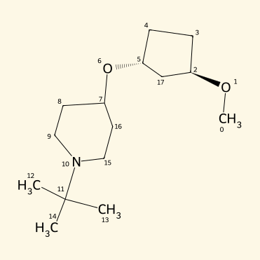 CO[C@@H]1CC[C@@H](OC2CCN(C(C)(C)C)CC2)C1